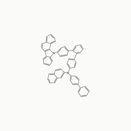 c1ccc(-c2ccc(N(c3ccc(-c4ccccc4-c4ccc(-n5c6ccccc6c6ccc7ccccc7c65)cc4)cc3)c3ccc4ccccc4c3)cc2)cc1